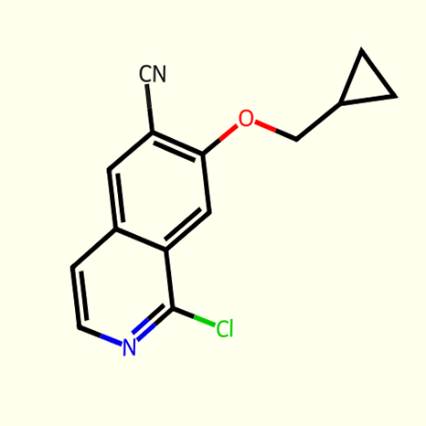 N#Cc1cc2ccnc(Cl)c2cc1OCC1CC1